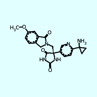 COc1ccc2c(c1)C(=O)N(C[C@@]1(c3ccc(C4(N)CC4)nc3)NC(=O)NC1=O)C2